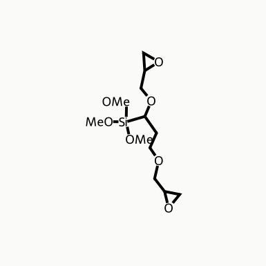 CO[Si](OC)(OC)C(CCOCC1CO1)OCC1CO1